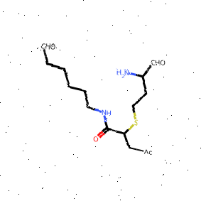 CC(=O)CC(SCCC(N)C=O)C(=O)NCCCCCC=O